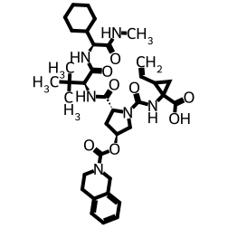 C=CC1CC1(NC(=O)N1C[C@@H](OC(=O)N2CCc3ccccc3C2)C[C@@H]1C(=O)N[C@H](C(=O)N[C@H](C(=O)NC)C1CCCCC1)C(C)(C)C)C(=O)O